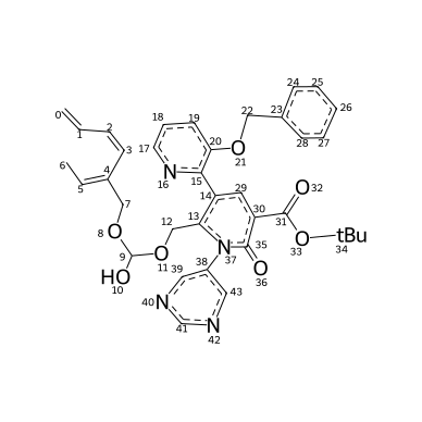 C=C/C=C\C(=C/C)COC(O)OCc1c(-c2ncccc2OCc2ccccc2)cc(C(=O)OC(C)(C)C)c(=O)n1-c1cncnc1